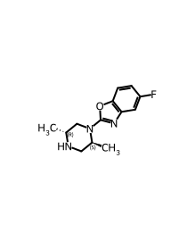 C[C@@H]1CN(c2nc3cc(F)ccc3o2)[C@@H](C)CN1